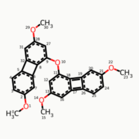 COc1ccc2c(c1)-c1c(Oc3cc(OC)cc4c3=c3cc(OC)ccc3=4)cc(OC)cc1-2